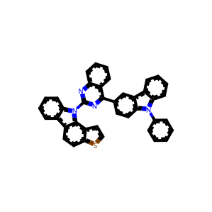 c1ccc(-n2c3ccccc3c3cc(-c4nc(-n5c6ccccc6c6ccc7sccc7c65)nc5ccccc45)ccc32)cc1